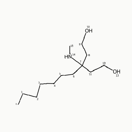 CCCCCCCC(CCO)(CCO)NC